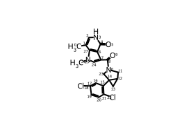 Cc1c[nH]c(=O)c2c(C(=O)N3CC4CC4(c4cc(Cl)ccc4Cl)C3)cn(C)c12